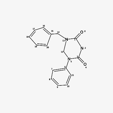 O=C1[N]C(=O)N(c2ccccc2)CN1Cc1ccccc1